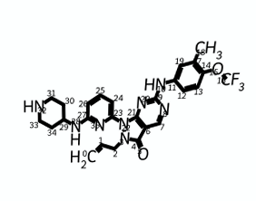 C=CCn1c(=O)c2cnc(Nc3ccc(OC(F)(F)F)c(C)c3)nc2n1-c1cccc(NC2CCNCC2)n1